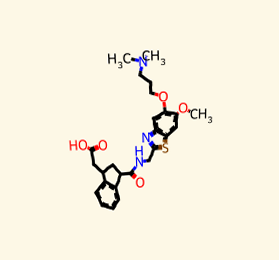 COc1cc2sc(CNC(=O)C3CC(CC(=O)O)c4ccccc43)nc2cc1OCCCN(C)C